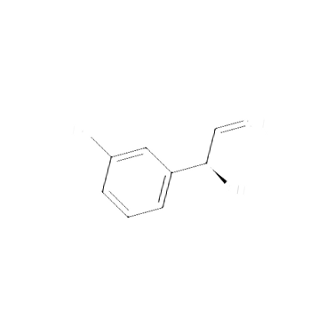 C=C[C@@H](C)c1cccc(C)c1